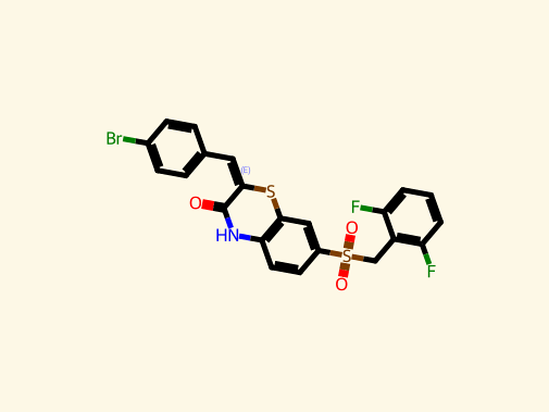 O=C1Nc2ccc(S(=O)(=O)Cc3c(F)cccc3F)cc2S/C1=C/c1ccc(Br)cc1